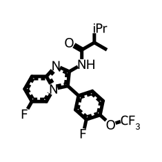 CC(C)C(C)C(=O)Nc1nc2ccc(F)cn2c1-c1ccc(OC(F)(F)F)c(F)c1